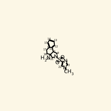 Cn1cnc(S(=O)(=O)N2CC3c4ccccc4CCC3(N)C2)c1